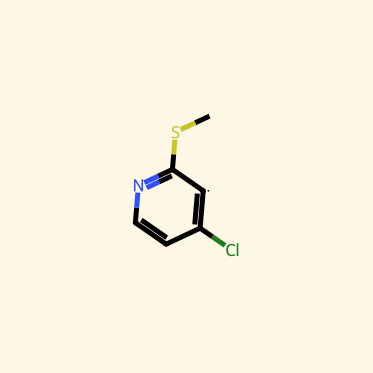 CSc1[c]c(Cl)ccn1